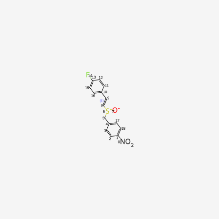 O=[N+]([O-])c1ccc(C[S+]([O-])/C=C/c2ccc(F)cc2)cc1